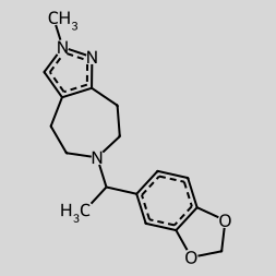 CC(c1ccc2c(c1)OCO2)N1CCc2cn(C)nc2CC1